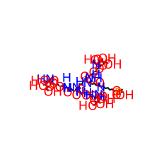 CC(=O)NC1C(OCCOCCNC(=O)CC[C@H](NC(=O)CCC[C@H](NC(=O)CCCC(=O)NCCCCCCOP(=O)(O)C(C)(C)C)C(=O)NCCOCCOC2OC(CO)C(O)C(O)C2NC(C)=O)C(=O)NCCOCCOC2OC(CO)C(O)C(O)C2NC(C)=O)OC(CO)C(O)C1O